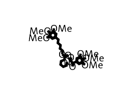 COc1cc(CCCCCOC(=O)C2CCCCN2C(=O)C(=O)c2cc(OC)c(OC)c(OC)c2)cc(OC)c1OC